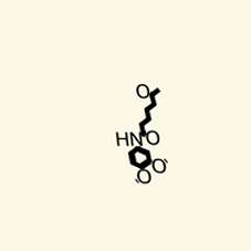 COc1ccc(NC(=O)CCCCC(C)=O)cc1OC